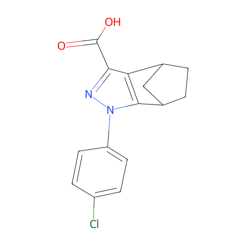 O=C(O)c1nn(-c2ccc(Cl)cc2)c2c1C1CCC2C1